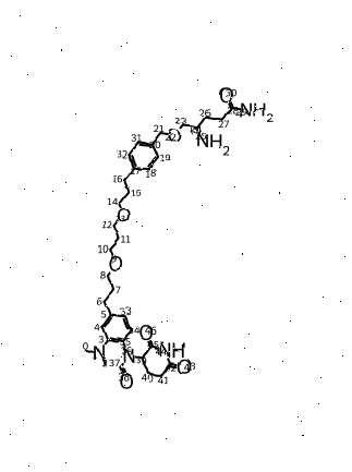 CN(C)c1cc(CCCOCCCOCCCc2ccc(COC[C@@H](N)CCC(N)=O)cc2)ccc1N(C=O)C1CCC(=O)NC1=O